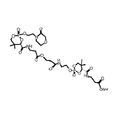 COC(=O)CCNC(=O)[C@@H]1O[P@@](=O)(OCCNC(=O)CCOC(=O)CCNC(=O)[C@@H]2OP(=O)(OCCN3CCOCC3=O)OCC2(C)C)OCC1(C)C